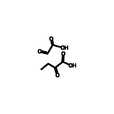 CCC(=O)C(=O)O.O=CC(=O)O